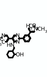 C=C/C(=C\N(C)C)c1cccc(-c2ncc(C(/C=N\C)=C/C)c(NCC3CCCCC3O)n2)c1